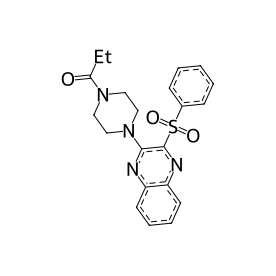 CCC(=O)N1CCN(c2nc3ccccc3nc2S(=O)(=O)c2ccccc2)CC1